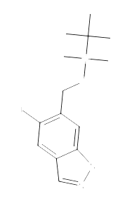 CC(C)(C)[Si](C)(C)OCc1cc2[nH]ncc2cc1I